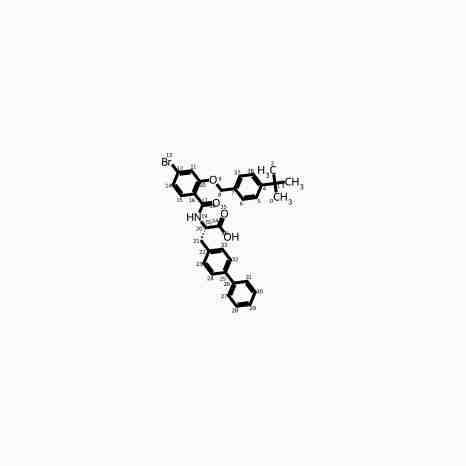 CC(C)(C)c1ccc(COc2cc(Br)ccc2C(=O)N[C@@H](Cc2ccc(-c3ccccc3)cc2)C(=O)O)cc1